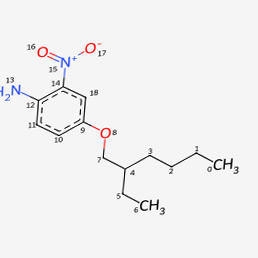 CCCCC(CC)COc1ccc(N)c([N+](=O)[O-])c1